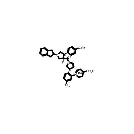 COC[C@H]1CN(C(=O)[C@]2(F)CN(C3Cc4ccccc4C3)C[C@H]2c2ccc(OC)cc2)C[C@@H]1c1ccc(C(F)(F)F)cc1N1CCC(C(=O)O)CC1